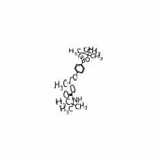 C[C@H](COc1ccc(B2OC(C)(C)C(C)(C)O2)cc1)OC(=O)NC(C)(C)C